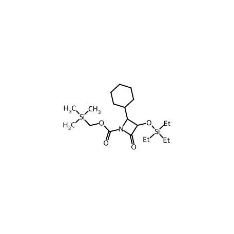 CC[Si](CC)(CC)OC1C(=O)N(C(=O)OC[Si](C)(C)C)C1C1CCCCC1